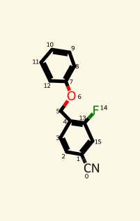 N#Cc1ccc(COc2ccccc2)c(F)c1